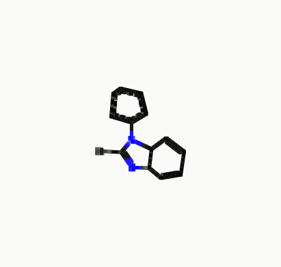 CCC1=NC2C=CC=CC2N1c1ccccc1